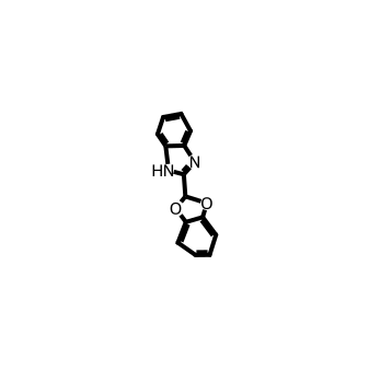 c1ccc2c(c1)OC(c1nc3ccccc3[nH]1)O2